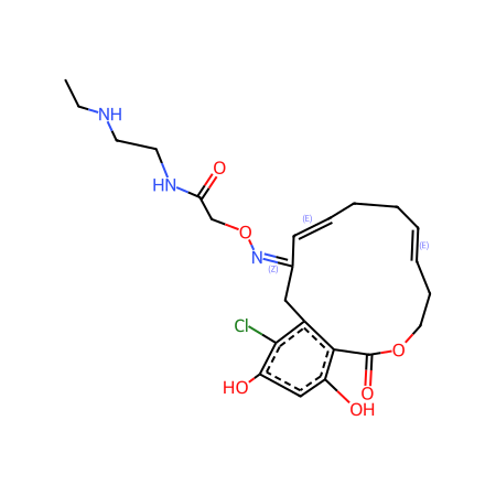 CCNCCNC(=O)CO/N=C1\C=C\CC/C=C/CCOC(=O)c2c(O)cc(O)c(Cl)c2C1